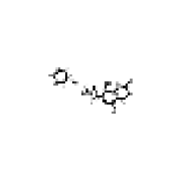 Cc1ccc2c(Cl)cc(S(=O)(=O)NCCOc3ccccc3)c(O)c2n1